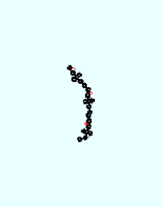 c1ccc(-c2cccc(-c3c4ccccc4c(-c4ccc5c(c4)oc4cc(-c6ccc7cc(-c8ccc(-c9c%10ccccc%10c(-c%10ccc%11c(c%10)oc%10ccc(-c%12ccc(-c%13ccc(-c%14c%15ccccc%15c(-c%15ccc%16c(c%15)oc%15ccccc%15%16)c%15ccccc%14%15)cc%13)cc%12)cc%10%11)c%10ccccc9%10)cc8)ccc7c6)ccc45)c4ccccc34)c2)cc1